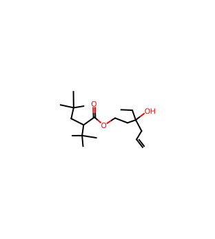 C=CCC(O)(CC)CCOC(=O)C(CC(C)(C)C)C(C)(C)C